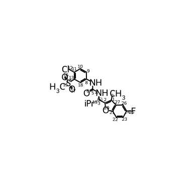 Cc1c([C@@H](NC(=O)Nc2ccc(Cl)c(S(C)(=O)=O)c2)C(C)C)oc2ccc(F)cc12